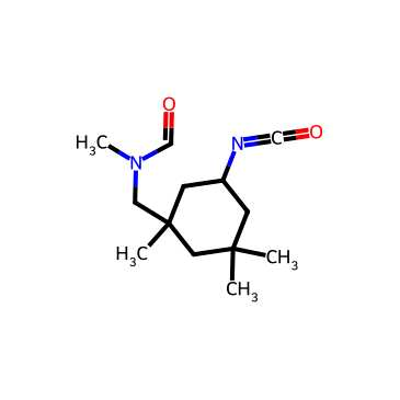 CN(C=O)CC1(C)CC(N=C=O)CC(C)(C)C1